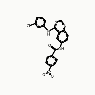 O=C(Nc1ccc2ncnc(Nc3cccc(Cl)c3)c2c1)c1ccc([N+](=O)[O-])cc1